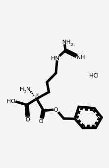 Cl.N=C(N)NCCC[C@](N)(C(=O)O)C(=O)OCc1ccccc1